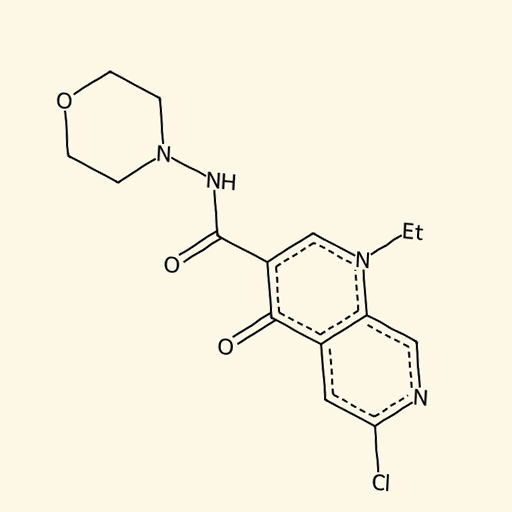 CCn1cc(C(=O)NN2CCOCC2)c(=O)c2cc(Cl)ncc21